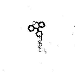 CCOOCN1CCC(=C2c3ccccc3COC3C=CC=CC23)CC1